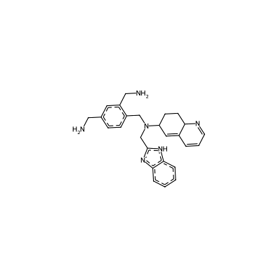 NCc1ccc(CN(Cc2nc3ccccc3[nH]2)C2C=C3C=CC=NC3CC2)c(CN)c1